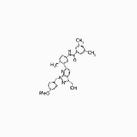 COc1ccc(Cn2nc(CO)c3ccc(-c4cc(NC(=O)c5cc(C)cc(C)c5)ccc4C)nc32)cc1